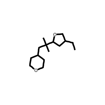 CCC1COC(C(C)(C)CC2CCOCC2)C1